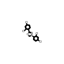 Clc1ccc(C2=NN(c3ccc(Cl)cc3Cl)CO2)c(Cl)c1